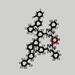 Cc1ccccc1-c1ccc2c(c1)c1ccccc1n2-c1cc(-c2cccc(-c3cc(-c4nc(-c5ccccc5)nc(-c5ccccc5)n4)ccc3-n3c4ccccc4c4cc(-c5ccccc5C)ccc43)c2)cc(-c2nc(-c3ccccc3)nc(-c3ccccc3)n2)c1